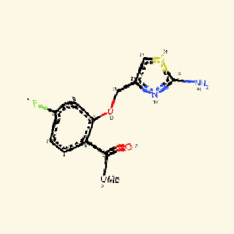 COC(=O)c1ccc(F)cc1OCc1csc(N)n1